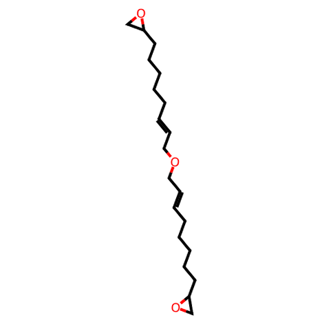 C(=CCOCC=CCCCCCC1CO1)CCCCCC1CO1